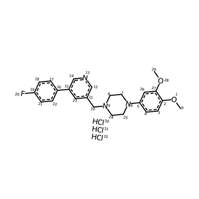 COc1ccc(N2CCN(Cc3cncc(-c4ccc(F)cc4)c3)CC2)cc1OC.Cl.Cl.Cl